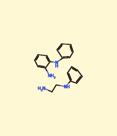 NCCNc1ccccc1.Nc1ccccc1Nc1ccccc1